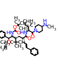 CC[C@H](C)[C@H](NC(=O)[C@H](CC=Cc1ccccc1)C[C@H]([C@H](NC(=O)OC(C)(C)C)C(O[SiH](C)C)c1ccccc1)C(C)(C)C)C(=O)N1CCC(NC)CC1